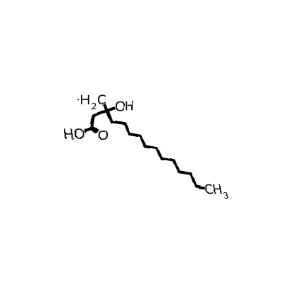 [CH2]C(O)(CCCCCCCCCCCC)CC(=O)O